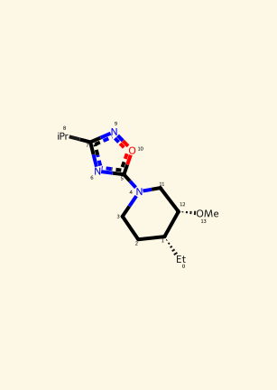 CC[C@@H]1CCN(c2nc(C(C)C)no2)C[C@@H]1OC